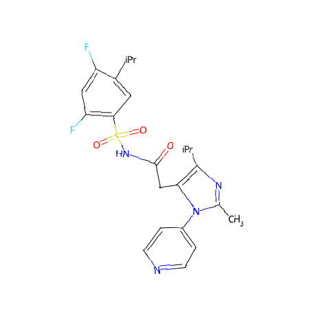 Cc1nc(C(C)C)c(CC(=O)NS(=O)(=O)c2cc(C(C)C)c(F)cc2F)n1-c1ccncc1